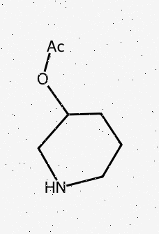 CC(=O)OC1CCCNC1